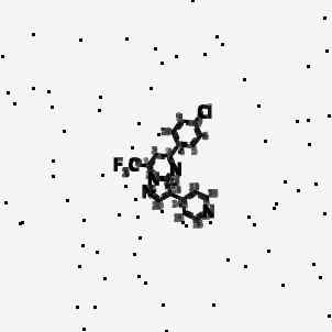 FC(F)(F)c1cc(-c2ccc(Cl)cc2)nc2c(-c3ccncc3)cnn12